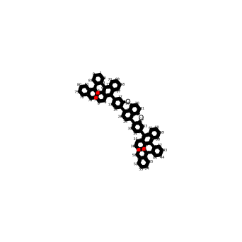 c1ccc(-c2c3ccccc3c(-c3ccc4c(c3)Oc3ccc5c6c(ccc-4c36)-c3ccc(-c4c6ccccc6c(-c6ccccc6-c6cccc7ccccc67)c6ccccc46)cc3O5)c3ccccc23)c(-c2cccc3ccccc23)c1